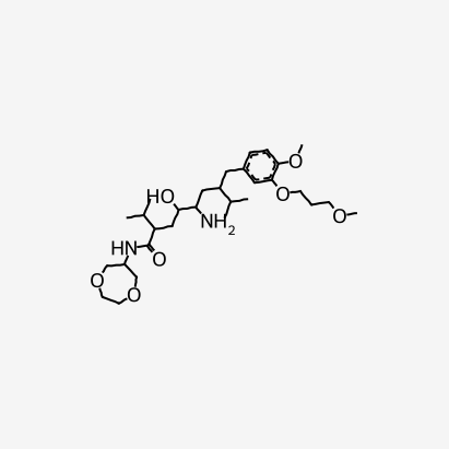 COCCCOc1cc(CC(CC(N)C(O)CC(C(=O)NC2COCCOC2)C(C)C)C(C)C)ccc1OC